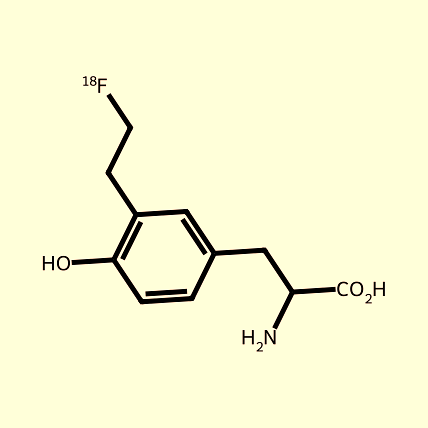 NC(Cc1ccc(O)c(CC[18F])c1)C(=O)O